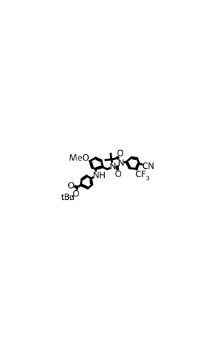 COc1ccc(CN2C(=O)N(c3ccc(C#N)c(C(F)(F)F)c3)C(=O)C2(C)C)c(Nc2ccc(C(=O)OC(C)(C)C)cc2)c1